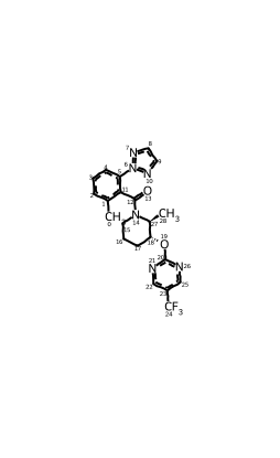 Cc1cccc(-n2nccn2)c1C(=O)N1CCC[C@@H](Oc2ncc(C(F)(F)F)cn2)[C@@H]1C